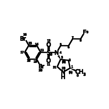 C[C@H]1C[C@@H](N(CCCCF)S(=O)(=O)c2cc(Br)ccc2Br)CN1